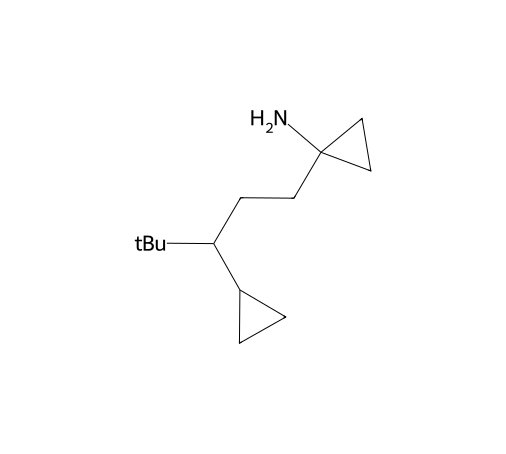 CC(C)(C)C(CCC1(N)CC1)C1CC1